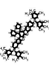 Cc1cc(N(c2cc(C)c(C)c(C)c2)c2ccc3cc4c(cc3c2)oc2c3oc5cc6cc(N(c7cc(C)c(C)c(C)c7)c7cc(C)c(C)c(C)c7)ccc6cc5c3c(-c3ccccc3)c(-c3ccccc3)c42)cc(C)c1C